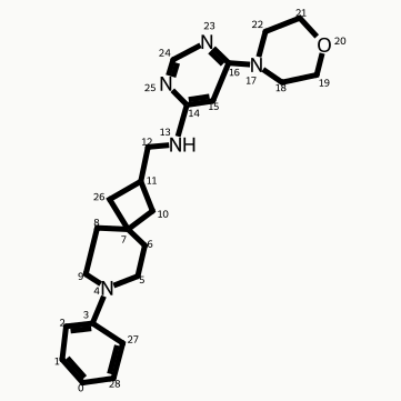 c1ccc(N2CCC3(CC2)CC(CNc2cc(N4CCOCC4)ncn2)C3)cc1